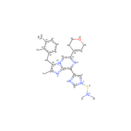 Cc1nc2c(-c3cn(SN(C)C)cn3)nc(C3=CCOCC3)cn2c1Cc1cccc(C(F)(F)F)c1C